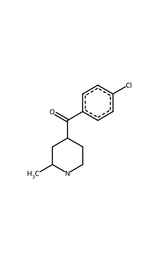 CC1CC(C(=O)c2ccc(Cl)cc2)CC[N]1